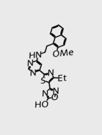 CCc1nc(-c2cc(NCCc3c(OC)ccc4ccccc34)ncn2)sc1-c1noc(O)n1